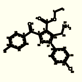 CCOC(=O)c1c(C(=O)c2ccc(C)cc2)nn(-c2ccc(Cl)cc2)c1CN